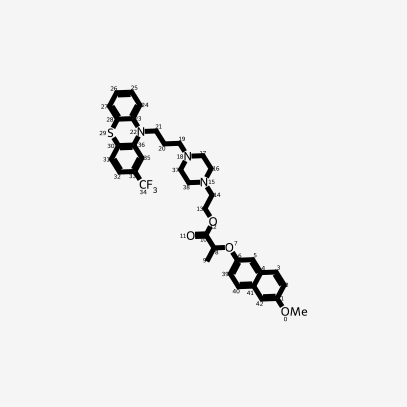 COc1ccc2cc(OC(C)C(=O)OCCN3CCN(CCCN4c5ccccc5Sc5ccc(C(F)(F)F)cc54)CC3)ccc2c1